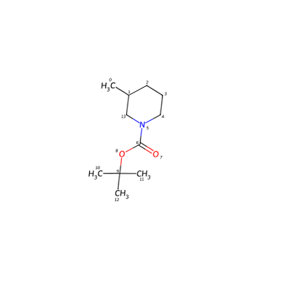 CC1CCCN(C(=O)OC(C)(C)C)C1